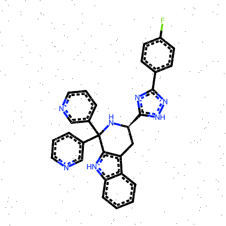 Fc1ccc(-c2n[nH]c([C@H]3Cc4c([nH]c5ccccc45)C(c4cccnc4)(c4cccnc4)N3)n2)cc1